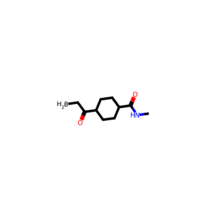 BCC(=O)C1CCC(C(=O)NC)CC1